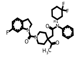 CC(=O)C1(CC(=O)N(c2ccccc2)[C@@H]2CCCC(F)(F)C2)CCN(C(=O)N2CCc3ccc(F)cc32)CC1